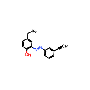 C#Cc1cccc(/N=N/c2cc(CC(C)C)ccc2O)c1